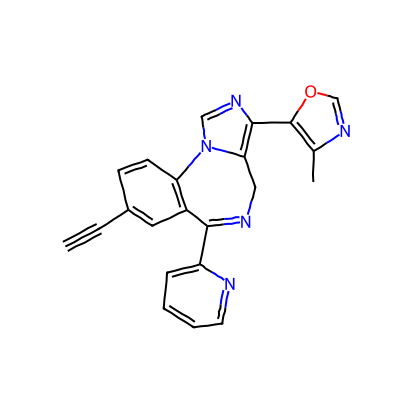 C#Cc1ccc2c(c1)C(c1ccccn1)=NCc1c(-c3ocnc3C)ncn1-2